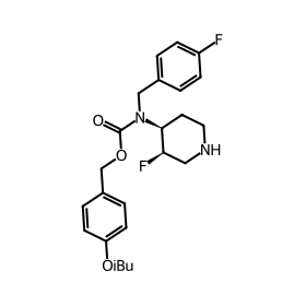 CC(C)COc1ccc(COC(=O)N(Cc2ccc(F)cc2)[C@H]2CCNC[C@H]2F)cc1